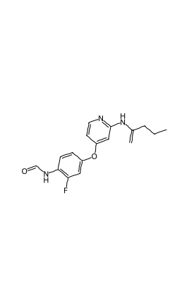 C=C(CCC)Nc1cc(Oc2ccc(NC=O)c(F)c2)ccn1